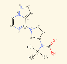 CC(C)(C)N(C(=O)O)C1CCN(c2nccn3nccc23)C1